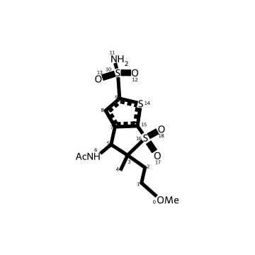 COCCC1(C)C(NC(C)=O)c2cc(S(N)(=O)=O)sc2S1(=O)=O